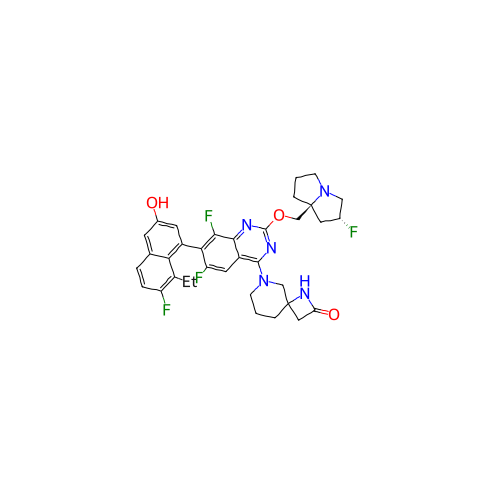 CCc1c(F)ccc2cc(O)cc(-c3c(F)cc4c(N5CCCC6(CC(=O)N6)C5)nc(OC[C@@]56CCCN5C[C@H](F)C6)nc4c3F)c12